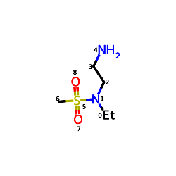 CCN(CCN)S(C)(=O)=O